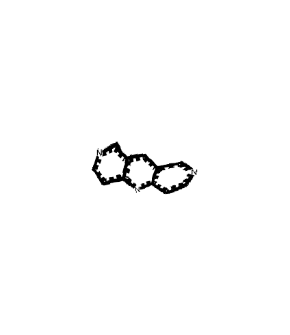 [c]1nccc2nc3ccncc3cc12